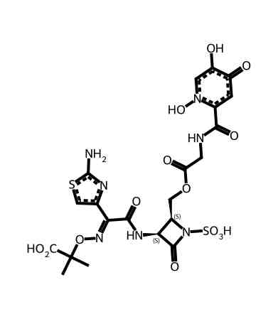 CC(C)(ON=C(C(=O)N[C@@H]1C(=O)N(S(=O)(=O)O)[C@@H]1COC(=O)CNC(=O)c1cc(=O)c(O)cn1O)c1csc(N)n1)C(=O)O